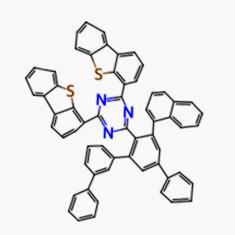 c1ccc(-c2cccc(-c3cc(-c4ccccc4)cc(-c4cccc5ccccc45)c3-c3nc(-c4cccc5c4sc4ccccc45)nc(-c4cccc5c4sc4ccccc45)n3)c2)cc1